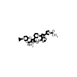 CC(=O)N1CC=C(c2cc(N3CCCC(c4c(Cl)sc(C(N)=O)c4OC4CCN(C5CC5)CC4)C3)c3c(N)ncnn23)C1